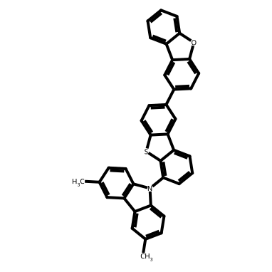 Cc1ccc2c(c1)c1cc(C)ccc1n2-c1cccc2c1sc1ccc(-c3ccc4oc5ccccc5c4c3)cc12